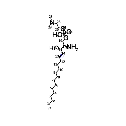 CCCCCCCCCCCCC/C=C/C(O)C(N)COP(=O)(O)OCCN(C)C